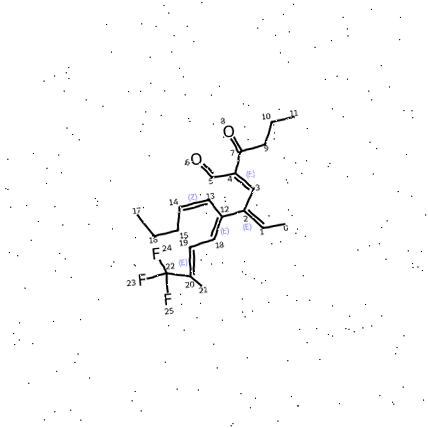 C/C=C(\C=C(/C=O)C(=O)CCC)C(/C=C\CCC)=C/C=C(\C)C(F)(F)F